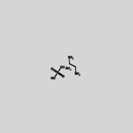 N.NCCN.O=S(=O)(O)O